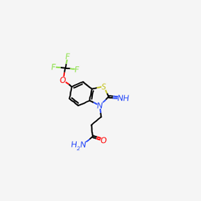 N=c1sc2cc(OC(F)(F)F)ccc2n1CCC(N)=O